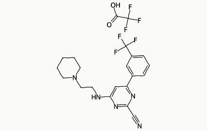 N#Cc1nc(NCCN2CCCCC2)cc(-c2cccc(C(F)(F)F)c2)n1.O=C(O)C(F)(F)F